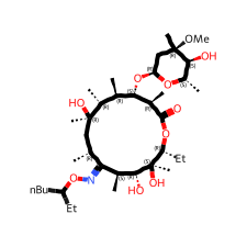 CCCCC(CC)ON=C1[C@H](C)C[C@@](C)(O)[C@H](C)[C@@H](C)[C@H](O[C@H]2C[C@@](C)(OC)[C@@H](O)[C@H](C)O2)[C@@H](C)C(=O)O[C@H](CC)[C@@](C)(O)[C@H](O)[C@H]1C